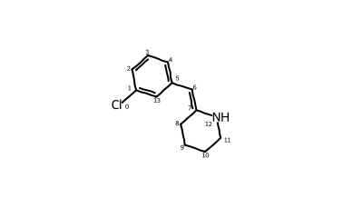 Clc1cccc(C=C2CCCCN2)c1